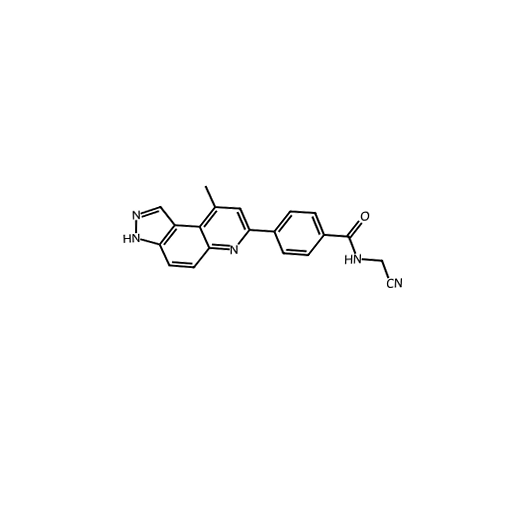 Cc1cc(-c2ccc(C(=O)NCC#N)cc2)nc2ccc3[nH]ncc3c12